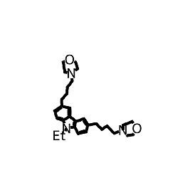 CCn1c2ccc(CCCCN3CCOCC3)cc2c2cc(CCCCN3CCOCC3)ccc21